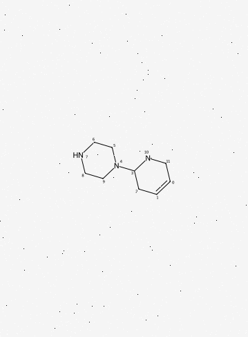 C1=CCC(N2CCNCC2)[N]C1